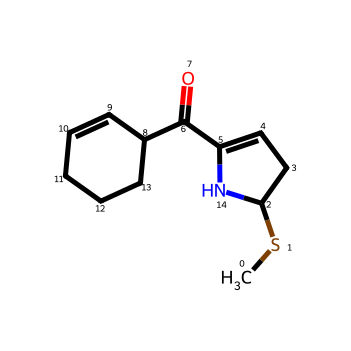 CSC1CC=C(C(=O)C2C=CCCC2)N1